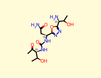 CC(=O)[C@@H](NC(=O)N[C@@H](CC(N)=O)c1nnc([C@@H](N)C(C)O)o1)C(C)O